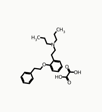 CCCN(CCC)CCc1ccccc1OCCc1ccccc1.O=C(O)C(=O)O